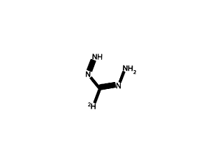 [2H]C(N=N)=NN